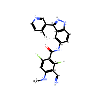 CNc1cc(F)c(C(=O)Nc2ccc3[nH]nc(-c4cnccc4C)c3c2)c(F)c1C=N